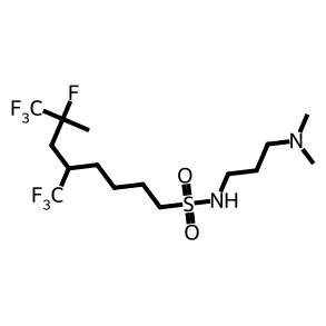 CN(C)CCCNS(=O)(=O)CCCCC(CC(C)(F)C(F)(F)F)C(F)(F)F